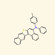 Cc1ccc(N(c2ccccc2)c2cc3sc4cc5ccccc5cc4c3c3ccccc23)cc1